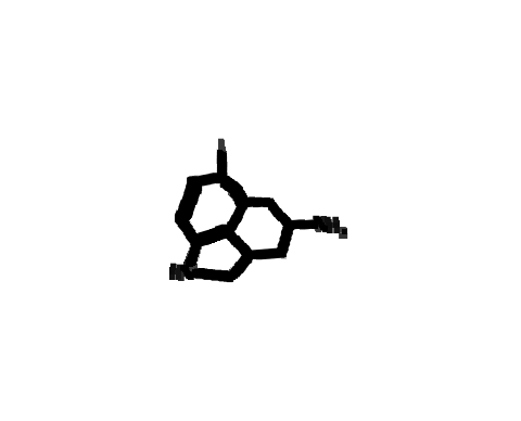 NC1Cc2c(I)ccc3c2C(CN3)C1